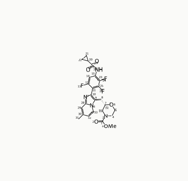 COC(=O)N1CCO[C@@H](Cc2c(-c3c(F)cc(NS(=O)(=O)C4CC4)c(F)c3F)nc3cc(C)ccn23)C1